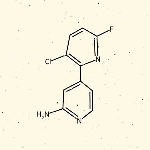 Nc1cc(-c2nc(F)ccc2Cl)ccn1